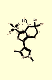 Cc1nn(C)cc1-c1sc(S(C)(=O)=O)c2c1CCC(F)(F)[C@H]2O